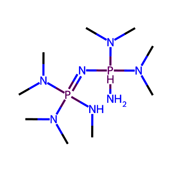 CNP(=N[PH](N)(N(C)C)N(C)C)(N(C)C)N(C)C